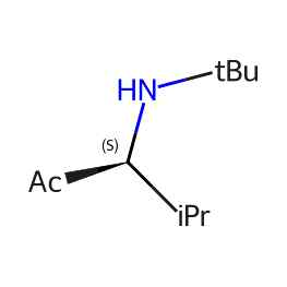 CC(=O)[C@@H](NC(C)(C)C)C(C)C